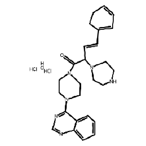 Cl.Cl.Cl.O=C(C(C=CC1=CC=CCC1)N1CCNCC1)N1CCN(c2ncnc3ccccc23)CC1